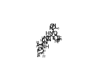 Cc1nonc1C(=O)N[C@H](c1cn2ccc([C@H](NC(=O)C[C@H](C)C(F)F)C3CC3)nc2n1)C1CCC(F)(F)CC1